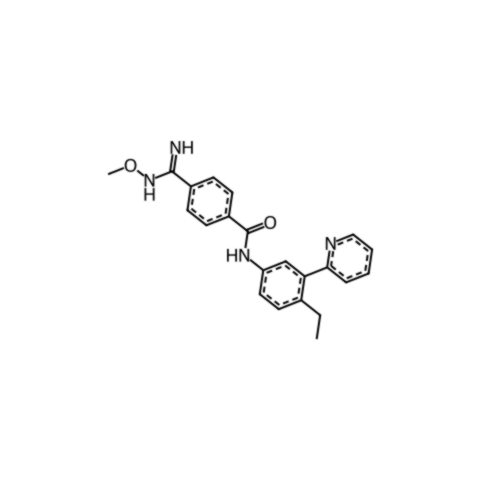 CCc1ccc(NC(=O)c2ccc(C(=N)NOC)cc2)cc1-c1ccccn1